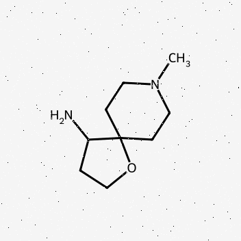 CN1CCC2(CC1)OCCC2N